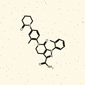 Cc1cc(N2CCCCC2=O)ccc1N1CCc2c(C(N)=O)nn(-c3ccccc3C)c2C1=O